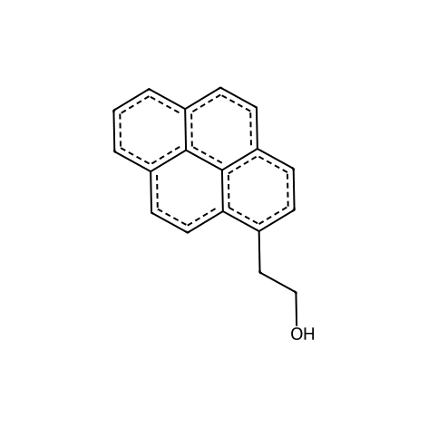 OCCc1ccc2ccc3cccc4ccc1c2c34